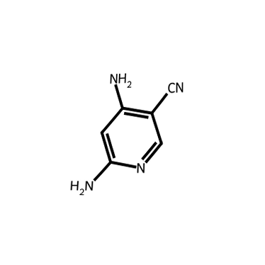 N#Cc1cnc(N)cc1N